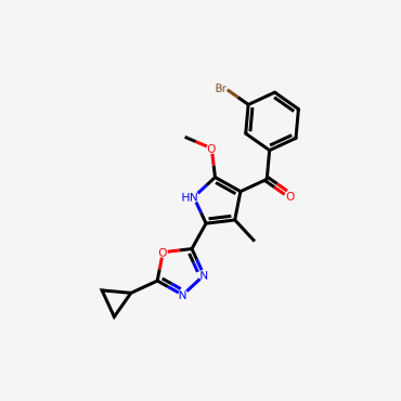 COc1[nH]c(-c2nnc(C3CC3)o2)c(C)c1C(=O)c1cccc(Br)c1